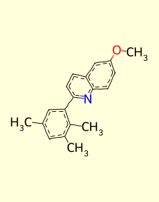 COc1ccc2nc(-c3cc(C)cc(C)c3C)ccc2c1